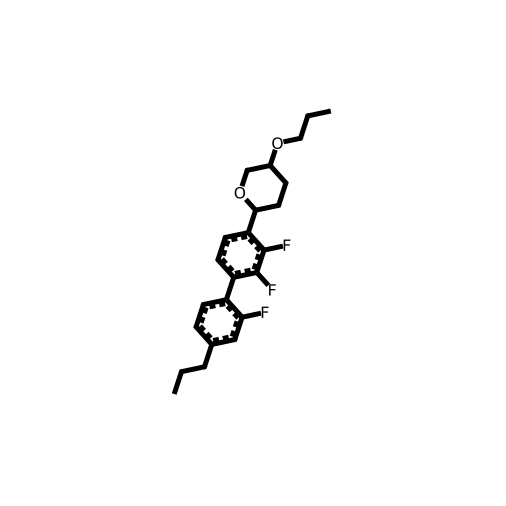 CCCOC1CCC(c2ccc(-c3ccc(CCC)cc3F)c(F)c2F)OC1